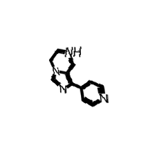 c1cc(-c2ncn3c2CNCC3)ccn1